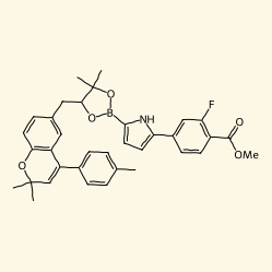 COC(=O)c1ccc(-c2ccc(B3OC(Cc4ccc5c(c4)C(c4ccc(C)cc4)=CC(C)(C)O5)C(C)(C)O3)[nH]2)cc1F